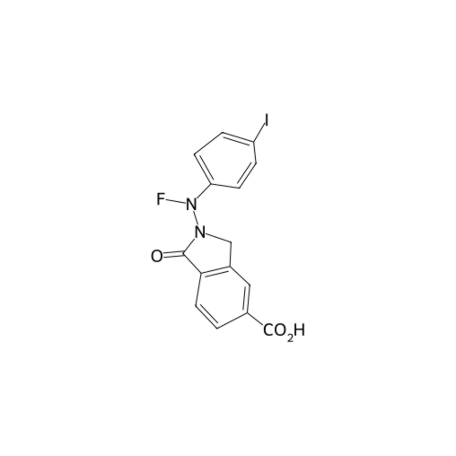 O=C(O)c1ccc2c(c1)CN(N(F)c1ccc(I)cc1)C2=O